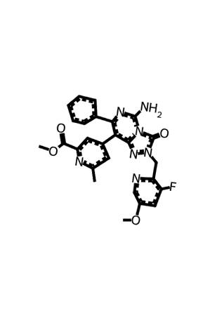 COC(=O)c1cc(-c2c(-c3ccccc3)nc(N)n3c(=O)n(Cc4ncc(OC)cc4F)nc23)cc(C)n1